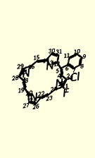 FC1=C(Cl)C2=C(c3ccccc3)C3=NC(=CC4=NC(=CC5=NC(=CC1=N2)C=C5)C=C4)C=C3